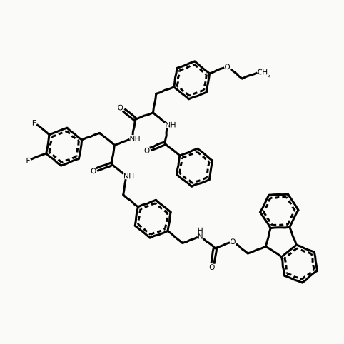 CCOc1ccc(CC(NC(=O)c2ccccc2)C(=O)NC(Cc2ccc(F)c(F)c2)C(=O)NCc2ccc(CNC(=O)OCC3c4ccccc4-c4ccccc43)cc2)cc1